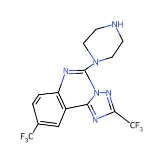 FC(F)(F)c1ccc2nc(N3CCNCC3)n3nc(C(F)(F)F)nc3c2c1